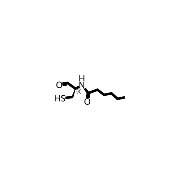 CCCCCC(=O)N[C@H](C=O)CS